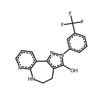 Oc1c2c(nn1-c1cccc(C(F)(F)F)c1)-c1cccnc1NCC2